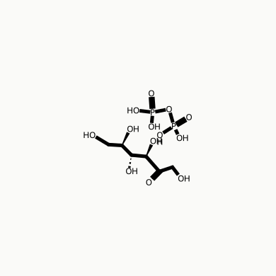 O=C(CO)[C@H](O)[C@H](O)[C@H](O)CO.O=P(O)(O)OP(=O)(O)O